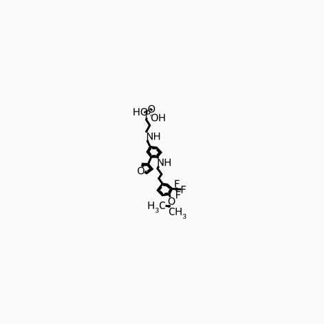 CC(C)Oc1ccc(CCCNc2ccc(CNCCCP(=O)(O)O)cc2-c2ccoc2)cc1C(F)(F)F